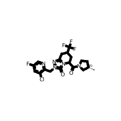 C[C@H]1CCN(C(=O)C2CC(C(F)(F)F)Cc3nn(Cc4ncc(F)cc4Cl)c(=O)n32)C1